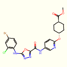 COC(=O)[C@H]1CC[C@H](Oc2ccc(NC(=O)c3nnc(Nc4ccc(Br)cc4Cl)o3)cn2)CC1